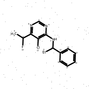 CCC(Nc1ncnc(C(C)F)c1Cl)c1ccccc1